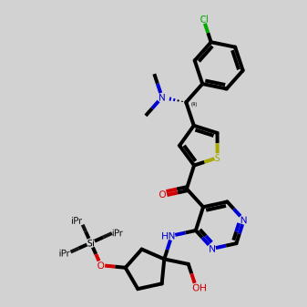 CC(C)[Si](OC1CCC(CO)(Nc2ncncc2C(=O)c2cc([C@@H](c3cccc(Cl)c3)N(C)C)cs2)C1)(C(C)C)C(C)C